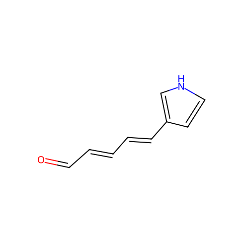 O=C/C=C/C=C/c1cc[nH]c1